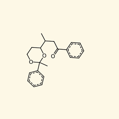 CC(CC(=O)c1ccccc1)C1CCOC(C)(c2ccccc2)O1